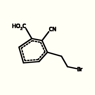 N#Cc1c(CCBr)cccc1C(=O)O